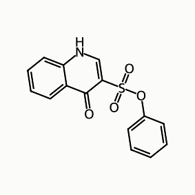 O=c1c(S(=O)(=O)Oc2ccccc2)c[nH]c2ccccc12